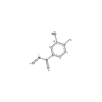 Cc1ccc(C(=O)N=O)cc1O